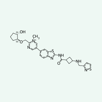 C[n+]1cc(-c2ccc3nc(NC(=O)C4CC(NCc5ccsn5)C4)sc3c2)cnc1CO[C@H]1CCC[C@@H]1O